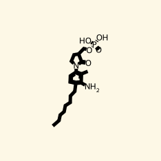 CCCCCCCCc1ccc(N2CCC(COP(=O)(O)O)C2=O)c(C)c1N